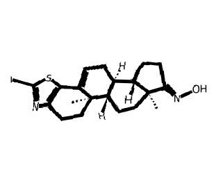 C[C@]12CCc3nc(I)sc3C1=CC[C@@H]1[C@@H]2CC[C@]2(C)/C(=N/O)CC[C@@H]12